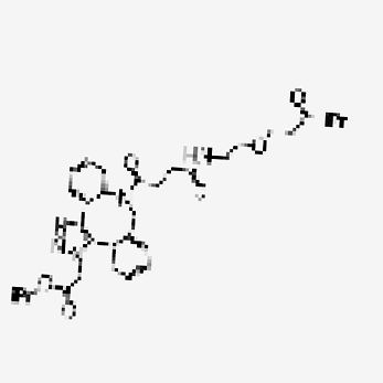 CC(C)OC(=O)Cn1nnc2c1-c1ccccc1CN(C(=O)CCC(=O)NCCOCCC(=O)C(C)C)c1ccccc1-2